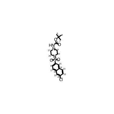 CC(C)(C)OC(=O)NN1CCN(S(=O)(=O)c2ccc3cc(Cl)ccc3c2)CC1